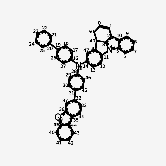 C1=Cc2c3n(c4ccccc24)-c2ccc(N(c4ccc(-c5ccccc5)cc4)c4ccc(-c5ccc6c(c5)oc5ccccc56)cc4)cc2C3C1